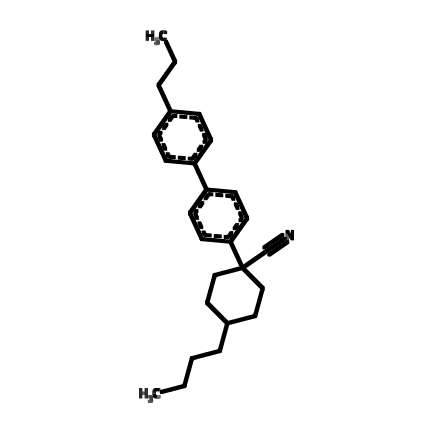 CCCCC1CCC(C#N)(c2ccc(-c3ccc(CCC)cc3)cc2)CC1